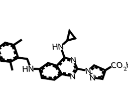 Cc1cccc(C)c1CNc1ccc2nc(-n3cc(C(=O)O)cn3)nc(NC3CC3)c2c1